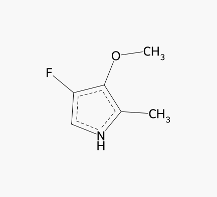 COc1c(F)c[nH]c1C